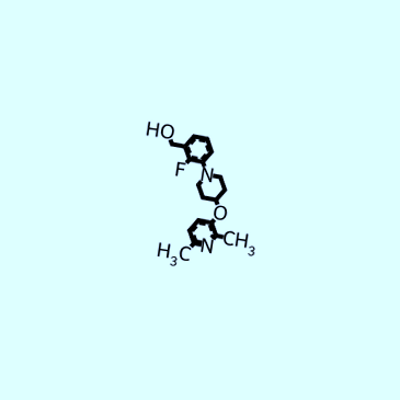 Cc1ccc(OC2CCN(c3cccc(CO)c3F)CC2)c(C)n1